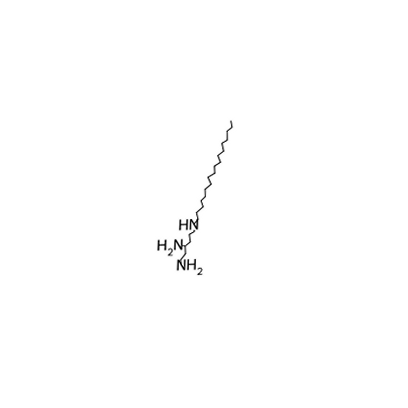 CCCCCCCCCCCCCCCCCCNCCCC(N)CCN